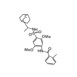 COc1cc(S(=O)(=O)NC(C)C2CC3CCC2CC3)c(OC)cc1NC(=O)c1ccccc1C